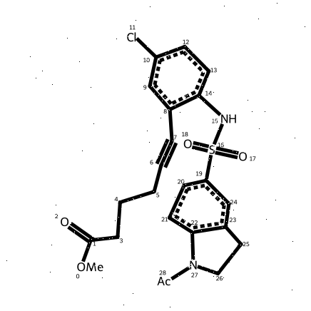 COC(=O)CCCC#Cc1cc(Cl)ccc1NS(=O)(=O)c1ccc2c(c1)CCN2C(C)=O